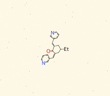 CCC1CC(=Cc2cccnc2)C(=O)C(=Cc2cccnc2)C1